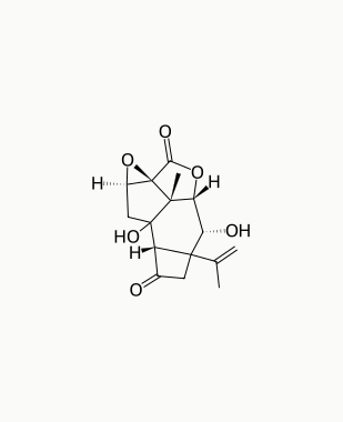 C=C(C)C12CC(=O)[C@@H]1C1(O)C[C@H]3O[C@]34C(=O)O[C@H]([C@@H]2O)[C@]14C